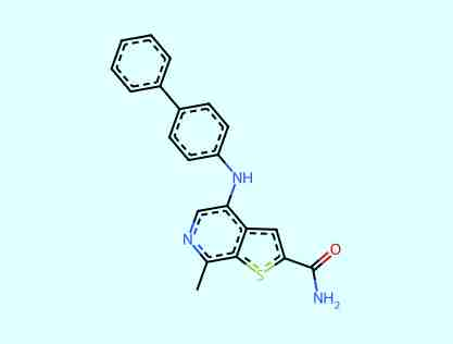 Cc1ncc(Nc2ccc(-c3ccccc3)cc2)c2cc(C(N)=O)sc12